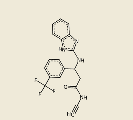 C#CNC(=O)CC(Nc1nc2ccccc2[nH]1)c1cccc(C(F)(F)F)c1